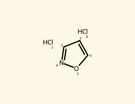 Cl.Cl.c1cnoc1